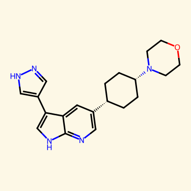 c1n[nH]cc1-c1c[nH]c2ncc([C@H]3CC[C@@H](N4CCOCC4)CC3)cc12